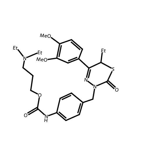 CCC1SC(=O)N(Cc2ccc(NC(=O)OCCCN(CC)CC)cc2)N=C1c1ccc(OC)c(OC)c1